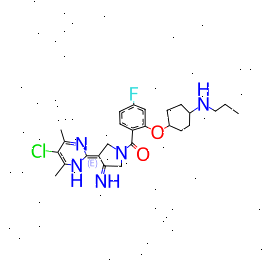 CCCNC1CCC(Oc2cc(F)ccc2C(=O)N2CC(=N)/C(=C3/N=C(C)C(Cl)=C(C)N3)C2)CC1